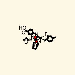 Cc1ccc(COc2cccc(N3C4CCC3CC(Cc3nc5ccc(C(=O)O)cc5n3C[C@@H]3CCO3)C4)n2)c(F)c1